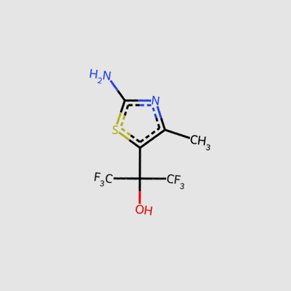 Cc1nc(N)sc1C(O)(C(F)(F)F)C(F)(F)F